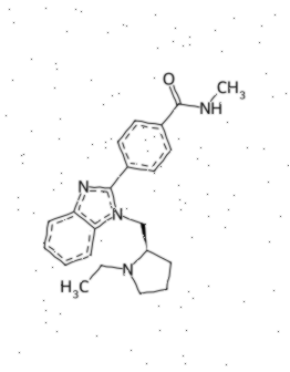 CCN1CCC[C@@H]1Cn1c(-c2ccc(C(=O)NC)cc2)nc2ccccc21